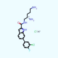 NCCC[C@H](N)CNC(=O)c1cc2ccc(-c3ccc(F)c(Cl)c3)cc2[nH]1.[Cl-].[H+]